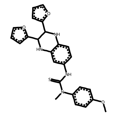 COc1ccc(N(C)C(=S)Nc2ccc3c(c2)NC(c2ccco2)C(c2ccco2)N3)cc1